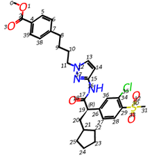 COC(=O)c1ccc(CCCCn2ccc(NC(=O)[C@H](CC3CCCC3)c3ccc(S(C)(=O)=O)c(Cl)c3)n2)cc1